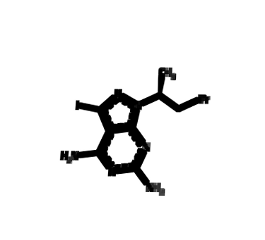 CC(C)C[C@H](C)n1nc(I)c2c(N)nc(N)nc21